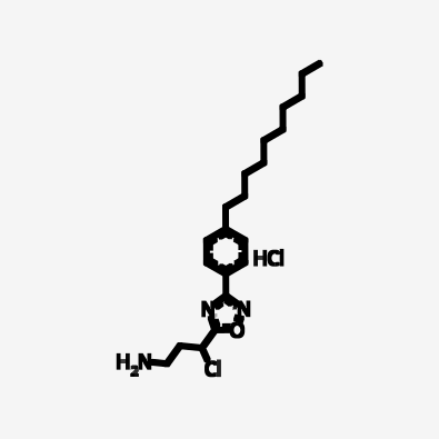 CCCCCCCCCCc1ccc(-c2noc(C(Cl)CCN)n2)cc1.Cl